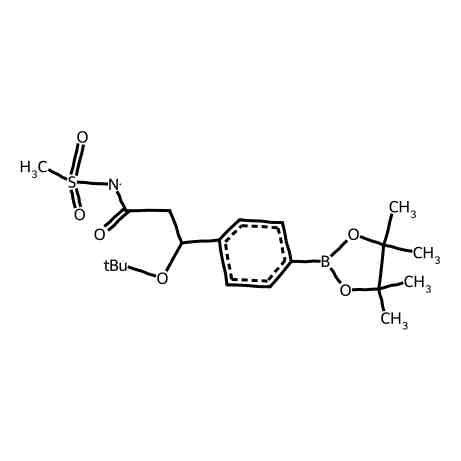 CC(C)(C)OC(CC(=O)[N]S(C)(=O)=O)c1ccc(B2OC(C)(C)C(C)(C)O2)cc1